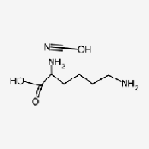 N#CO.NCCCCC(N)C(=O)O